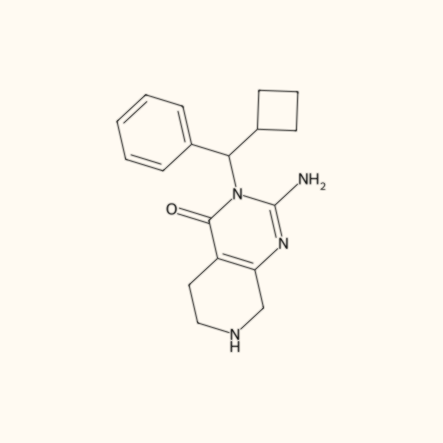 Nc1nc2c(c(=O)n1C(c1ccccc1)C1CCC1)CCNC2